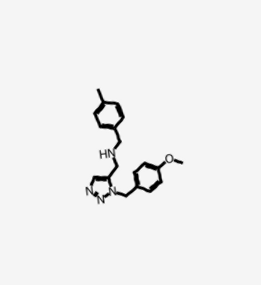 COc1ccc(Cn2nncc2CNCc2ccc(C)cc2)cc1